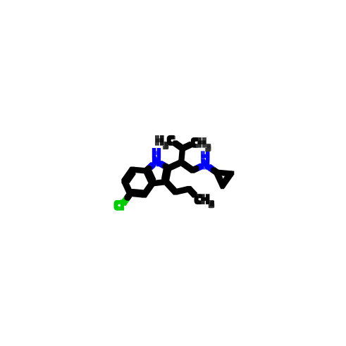 CCCc1c(C(CNC2CC2)C(C)C)[nH]c2ccc(Cl)cc12